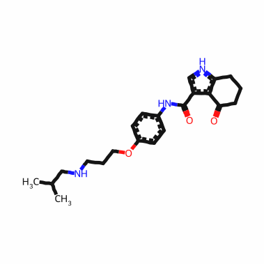 CC(C)CNCCCOc1ccc(NC(=O)c2c[nH]c3c2C(=O)CCC3)cc1